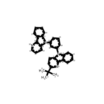 CC(C)(C)c1ccc2c(n1)c1ccccc1n2-c1cccc(-n2c3ccccc3c3ncccc32)c1